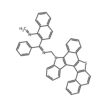 C=Nc1c(/C(=N\Cn2c3ccccc3c3c4c(sc5ccc6ccccc6c54)c4ccccc4c32)c2ccccc2)ccc2ccccc12